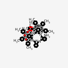 Cc1ccc(S(=O)(=O)c2c3c(c(S(=O)(=O)c4ccc(C)cc4)c(S(=O)(=O)c4ccc(C)cc4)c2S(=O)(=O)c2ccc(C)cc2)-c2nc-3nc3[nH]c(nc4nc(nc5[nH]c(n2)c2c(S(=O)(=O)c6ccc(C)cc6)c(S(=O)(=O)c6ccc(C)cc6)c(S(=O)(=O)c6ccc(C)cc6)c(S(=O)(=O)c6ccc(C)cc6)c52)-c2ccccc2-4)c2cccc(N)c32)cc1